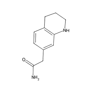 NC(=O)Cc1ccc2c(c1)NCCC2